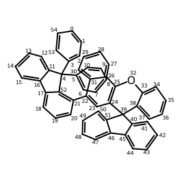 c1ccc(C2(c3ccccc3)c3ccccc3-c3cccc(-c4cc5c(c6ccccc46)Oc4ccccc4C54c5ccccc5-c5ccccc54)c32)cc1